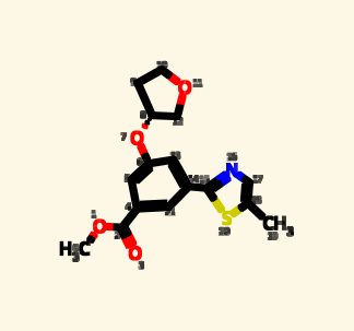 COC(=O)c1cc(O[C@@H]2CCOC2)cc(-c2ncc(C)s2)c1